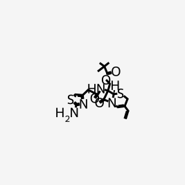 C=CC1=CN2C(=O)C(COC(=O)C(C)(C)C)(NC(=O)Cc3csc(N)n3)[C@@H]2SC1